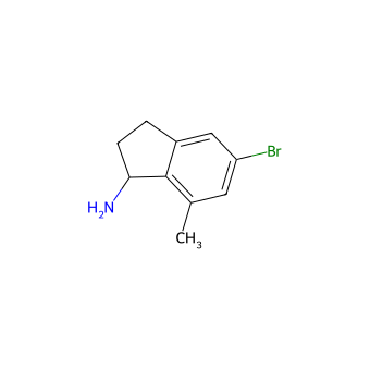 Cc1cc(Br)cc2c1C(N)CC2